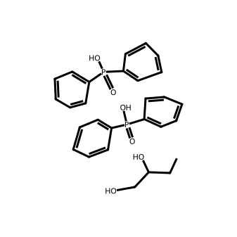 CCC(O)CO.O=P(O)(c1ccccc1)c1ccccc1.O=P(O)(c1ccccc1)c1ccccc1